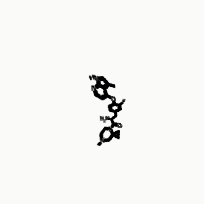 Cc1c[nH]c2nccc(Oc3ccc(C[C@H](N)C(=O)N4CCN(C)CC45CC5)cc3F)c12